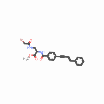 COC(=O)C(CNC(=O)CBr)NC(=O)c1ccc(C#CC=Cc2ccccc2)cc1